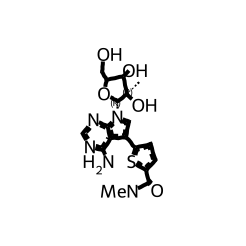 CNC(=O)c1ccc(-c2cn([C@@H]3OC(CO)C(O)[C@@]3(C)O)c3ncnc(N)c23)s1